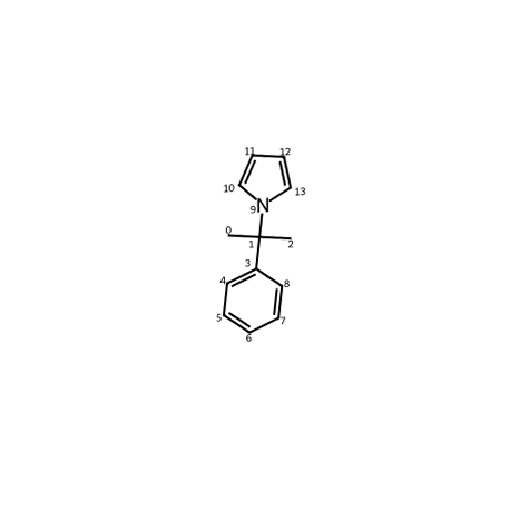 CC(C)(c1ccccc1)n1cccc1